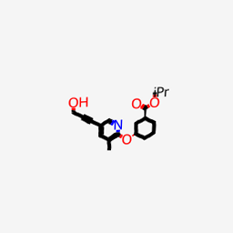 Cc1cc(C#CCO)cnc1O[C@H]1CCC[C@H](C(=O)OC(C)C)C1